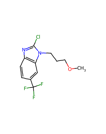 COCCCn1c(Cl)nc2ccc(C(F)(F)F)cc21